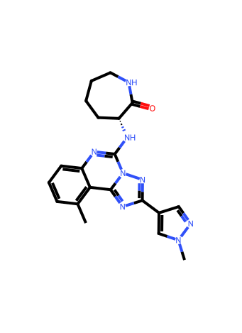 Cc1cccc2nc(N[C@@H]3CCCCNC3=O)n3nc(-c4cnn(C)c4)nc3c12